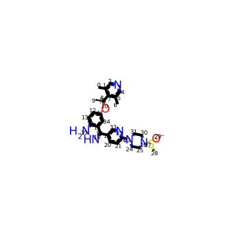 Cc1cncc(C)c1[C@H](C)Oc1ccc(N)c(C(=N)c2ccc(N3CCN([S+](C)[O-])CC3)nc2)c1